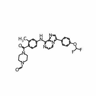 Cc1cc(Nc2nccn3c(-c4ccc(OC(F)F)cc4)cnc23)ccc1C(=O)N1CCN(C=O)CC1